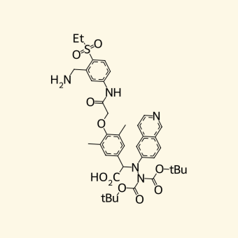 CCS(=O)(=O)c1ccc(NC(=O)COc2c(C)cc(C(C(=O)O)N(c3ccc4cnccc4c3)N(C(=O)OC(C)(C)C)C(=O)OC(C)(C)C)cc2C)cc1CN